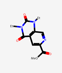 CCn1c(=O)c2cc(C(=O)OC)ncc2n(CC)c1=O